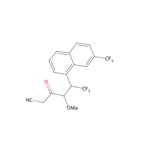 COC(C(=O)CC#N)C(c1cccc2ccc(C(F)(F)F)cc12)C(F)(F)F